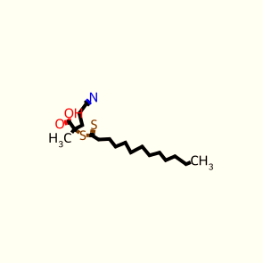 CCCCCCCCCCCCC(=S)SC(C)(CCC#N)C(=O)O